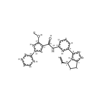 C=C[C@@H]1CCc2nnc(-c3cccc(NC(=O)c4cn(-c5cnccn5)nc4OC)n3)n21